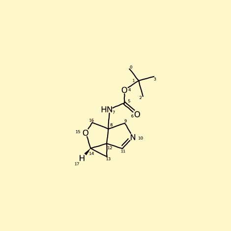 CC(C)(C)OC(=O)NC12CN=CC13C[C@@H]3OC2